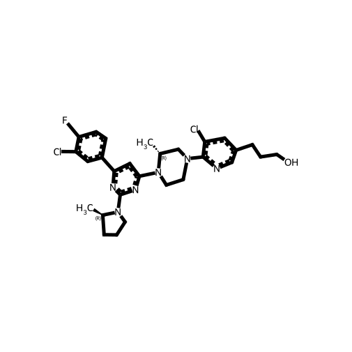 C[C@@H]1CN(c2ncc(CCCO)cc2Cl)CCN1c1cc(-c2ccc(F)c(Cl)c2)nc(N2CCC[C@H]2C)n1